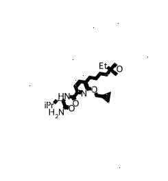 CCC1(CCCCc2ccc(C(=O)N[C@@H](CC(C)C)C(N)=O)nc2OCC2CC2)COC1